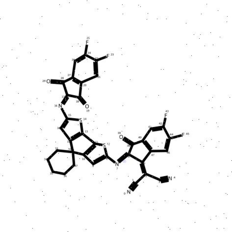 N#CC(C#N)=C1/C(=N/c2cc3c(s2)-c2sc(N=c4c(=O)c5cc(F)c(F)cc5c4=O)cc2C32CCCCC2)C(=O)c2cc(F)c(F)cc21